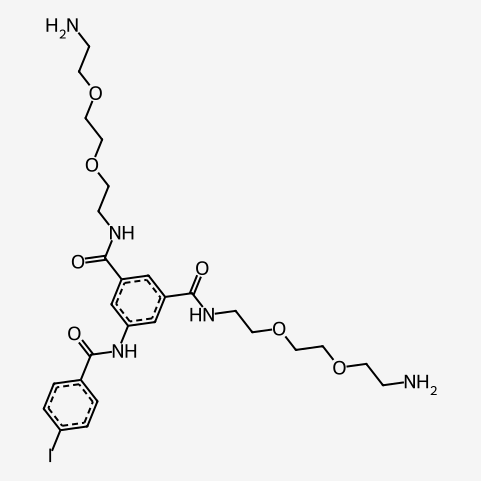 NCCOCCOCCNC(=O)c1cc(NC(=O)c2ccc(I)cc2)cc(C(=O)NCCOCCOCCN)c1